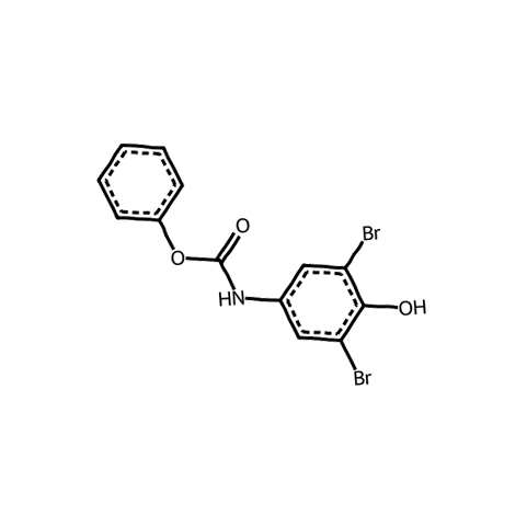 O=C(Nc1cc(Br)c(O)c(Br)c1)Oc1ccccc1